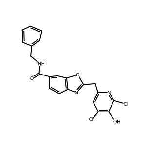 O=C(NCc1ccccc1)c1ccc2nc(Cc3cc(Cl)c(O)c(Cl)n3)oc2c1